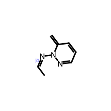 C=C1C=CC=NN1/N=C\C